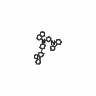 c1cc(N(c2ccc(-c3ccc4c(c3)oc3ccccc34)cc2)c2cccc3ccccc23)cc(-n2c3ccccc3c3ccccc32)c1